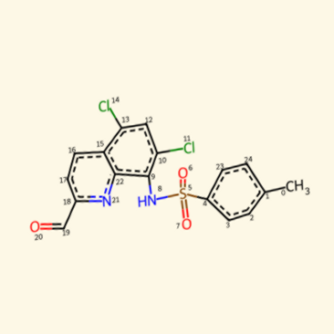 Cc1ccc(S(=O)(=O)Nc2c(Cl)cc(Cl)c3ccc(C=O)nc23)cc1